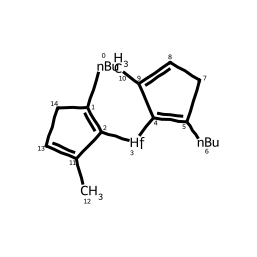 CCCCC1=[C]([Hf][C]2=C(CCCC)CC=C2C)C(C)=CC1